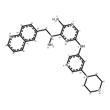 Nc1ncc(Nc2cncc(N3CCOCC3)c2)nc1N(N)Cc1ccc2ncccc2c1